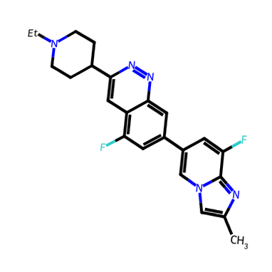 CCN1CCC(c2cc3c(F)cc(-c4cc(F)c5nc(C)cn5c4)cc3nn2)CC1